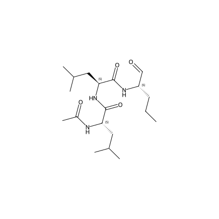 CCC[C@@H](C=O)NC(=O)[C@H](CC(C)C)NC(=O)[C@H](CC(C)C)NC(C)=O